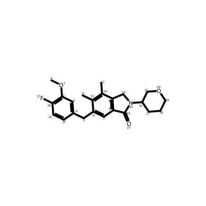 COc1cc(Cc2cc3c(c(C)c2C)CN(C2CCCOC2)C3=O)ccc1F